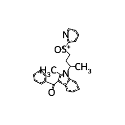 Cc1c(C(=O)c2ccccc2)c2ccccc2n1C(C)CC[S+]([O-])c1ccccn1